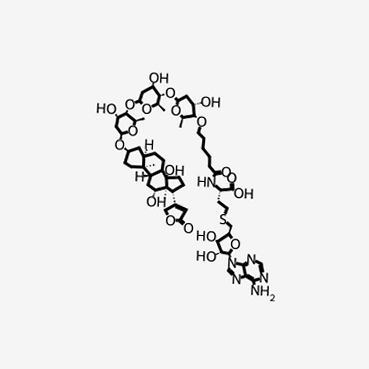 C[C@H]1OC(O[C@H]2[C@@H](O)CC(O[C@H]3[C@@H](O)C[C@H](O[C@@H]4CC[C@@]5(C)[C@H](CCC6[C@@H]5C[C@@H](O)[C@]5(C)[C@@H](C7=CC(=O)OC7)CC[C@]65O)C4)O[C@@H]3C)O[C@@H]2C)C[C@H](O)[C@@H]1OCCCCCC(=O)N[C@@H](CCSC[C@H]1O[C@@H](n2cnc3c(N)ncnc32)[C@H](O)[C@@H]1O)C(=O)O